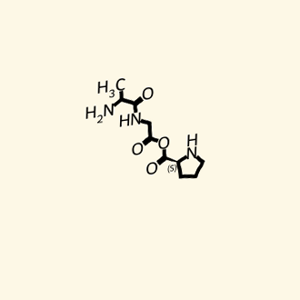 CC(N)C(=O)NCC(=O)OC(=O)[C@@H]1CCCN1